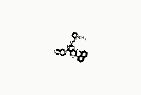 CN1CCC[C@H]1COc1nc2c(c(N3CCn4cncc4C3)n1)CO[C@H](c1cccc3cccc(Cl)c13)C2